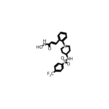 O=C(/C=C/c1ccccc1N1CCC(NS(=O)(=O)c2ccc(C(F)(F)F)cc2)CC1)NO